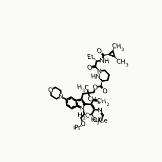 C=C/C(=C(\N=C/C)[C@H](C)OC)c1c(CC(C)(C)COC(=O)[C@@H]2CCCN(C(=O)[C@H](CC)NC(=O)[C@H]3[C@H](C)[C@@H]3C)N2)c2cc(N3CCOCC3)ccc2n1CCOC(C)C